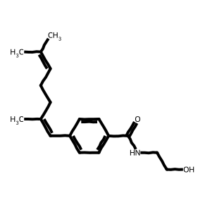 CC(C)=CCCC(C)=Cc1ccc(C(=O)NCCO)cc1